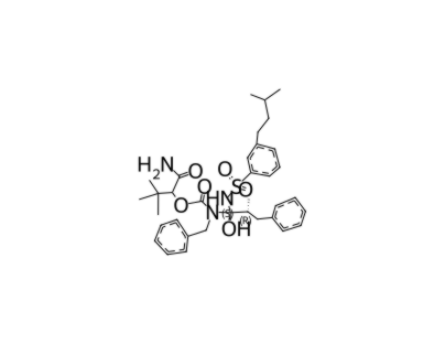 CC(C)CCc1cccc(S(=O)(=O)N[C@](O)([C@H](C)Cc2ccccc2)N(Cc2ccccc2)C(=O)OC(C(N)=O)C(C)(C)C)c1